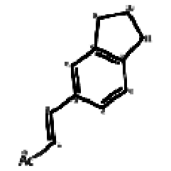 CC(=O)/C=C/c1ccc2c(c1)CCC2